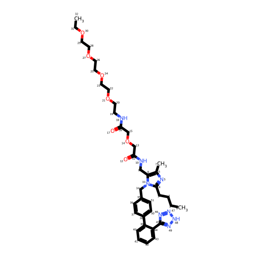 CCCCc1nc(C)c(CNC(=O)COCC(=O)NCCOCCOCCOCCOCC)n1Cc1ccc(-c2ccccc2-c2nn[nH]n2)cc1